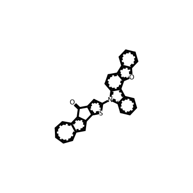 O=C1c2cc(-n3c4ccccc4c4c5oc6ccccc6c5ccc43)sc2-c2cc3cccccc-3c21